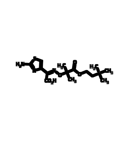 CC(C)(ON=C(C(=O)O)c1csc(N)n1)C(=O)OCC[Si](C)(C)C